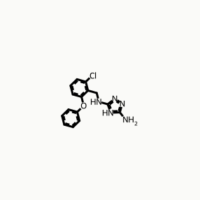 Nc1nnc(NCc2c(Cl)cccc2Oc2ccccc2)[nH]1